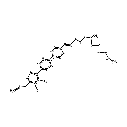 C=CCc1ccc(-c2ccc(-c3ccc(C=CCCCC(C)OCCCCC)cc3)cn2)c(F)c1F